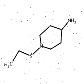 CCSN1CCC(N)CC1